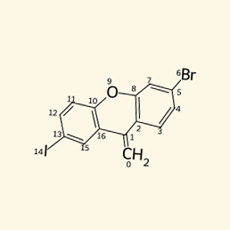 C=C1c2ccc(Br)cc2Oc2ccc(I)cc21